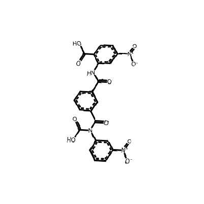 O=C(Nc1cc([N+](=O)[O-])ccc1C(=O)O)c1cccc(C(=O)N(C(=O)O)c2cccc([N+](=O)[O-])c2)c1